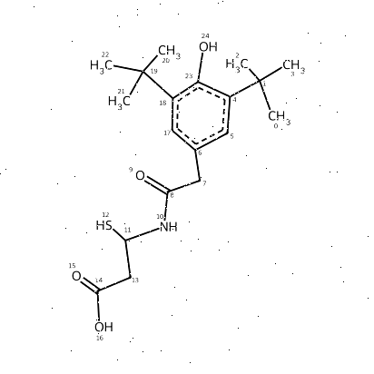 CC(C)(C)c1cc(CC(=O)NC(S)CC(=O)O)cc(C(C)(C)C)c1O